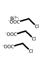 O=C([O-])CCl.O=C([O-])CCl.O=C([O-])CCl.[Bi+3]